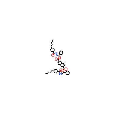 CCCCCC1CCC(C(=O)N(C)[C@@H](C)[C@H](OC(=O)c2ccc3cc(C(=O)O[C@H](c4ccccc4)[C@H](C)N(C)C(=O)C4CCC(CCCCC)CC4)ccc3c2)c2ccccc2)CC1